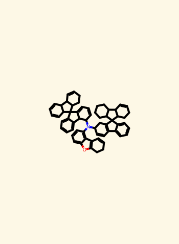 C1=CC2C3C=CCCC3C3(C4=CC=CC(N(c5cccc6oc7c(c56)C=CCC7)C5C=CC6=C(C5)C5(c7ccccc76)C6CCC=CC6C6CCCCC65)C4c4ccccc43)C2C=C1